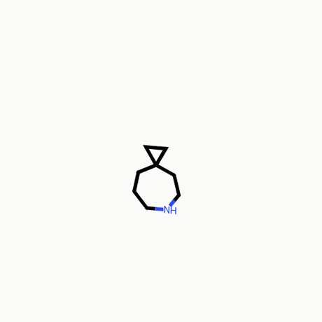 C1CNCCC2(C1)CC2